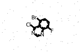 Fc1ccc(Br)c2c(Cl)ncnc12